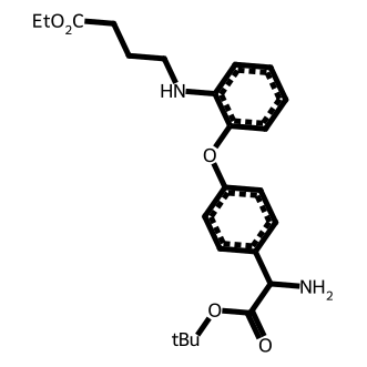 CCOC(=O)CCCNc1ccccc1Oc1ccc(C(N)C(=O)OC(C)(C)C)cc1